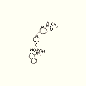 CC(=O)NC1=NC=C(CN2CCN(CCS(O)(O)Nc3cccc4ccccc34)CC2)C=CS1